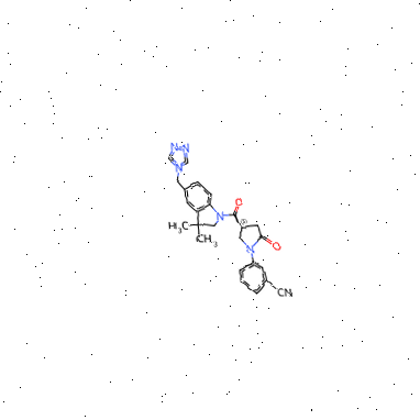 CC1(C)CN(C(=O)[C@H]2CC(=O)N(c3cccc(C#N)c3)C2)c2ccc(Cn3cnnc3)cc21